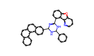 c1ccc(C2NC(c3cccc4oc5cccnc5c34)=NC(c3ccc4c(ccc5ccc6ccccc6c54)c3)N2)cc1